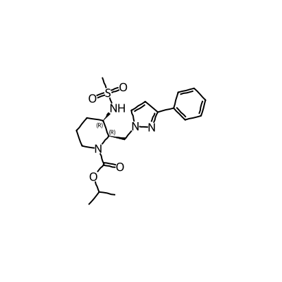 CC(C)OC(=O)N1CCC[C@@H](NS(C)(=O)=O)[C@H]1Cn1ccc(-c2ccccc2)n1